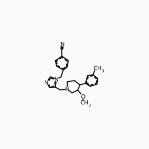 COC1CN(Cc2cncn2Cc2ccc(C#N)cc2)CCC1c1cccc(C)c1